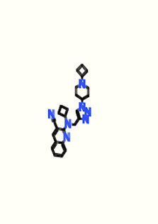 N#Cc1cc2ccccc2nc1N(Cc1cn(C2CCN(C3CCC3)CC2)nn1)C1CCC1